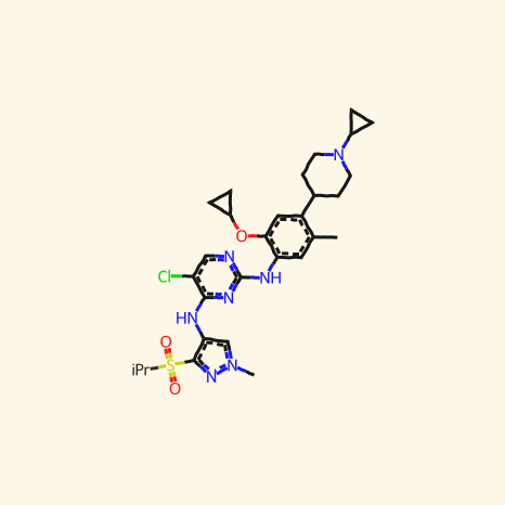 Cc1cc(Nc2ncc(Cl)c(Nc3cn(C)nc3S(=O)(=O)C(C)C)n2)c(OC2CC2)cc1C1CCN(C2CC2)CC1